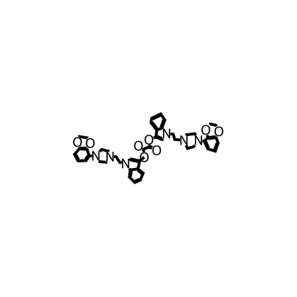 O=C(Oc1cn(CCN2CCN(c3cccc4c3OCCO4)CC2)c2ccccc12)C(=O)Oc1cn(CCN2CCN(c3cccc4c3OCCO4)CC2)c2ccccc12